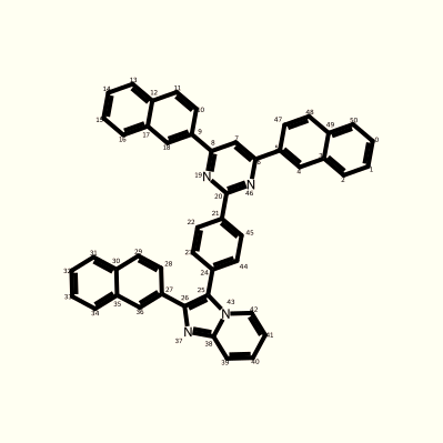 c1ccc2cc(-c3cc(-c4ccc5ccccc5c4)nc(-c4ccc(-c5c(-c6ccc7ccccc7c6)nc6ccccn56)cc4)n3)ccc2c1